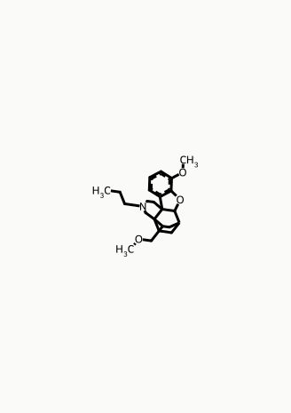 CCCN1CCC23c4cccc(OC)c4OC2C2CCC3(C1)C(COC)C2